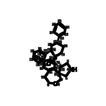 O=C([C@@H]1CNC[C@]12COCCc1cc(Br)ccc12)N1CC[C@@H](c2ccccc2)C[C@H]1c1ccccc1